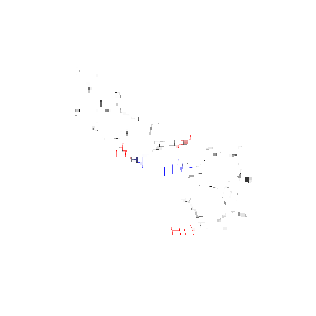 CC(C)(C)C1CCC2(CC1)CC(C(=O)Nc1cccc3ccc(O)cc13)=NO2